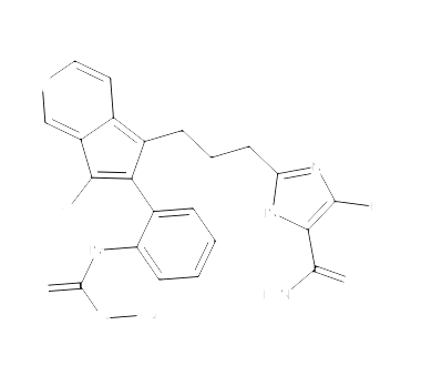 CCc1nc(CCCc2c3ccocc-3c(Br)c2-c2ccccc2NC(=O)OC(C)(C)C)[nH]c1C(N)=O